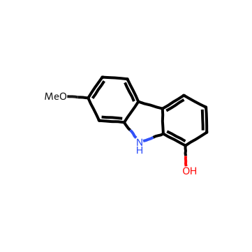 COc1ccc2c(c1)[nH]c1c(O)cccc12